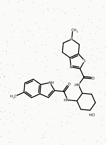 Cc1ccc2[nH]c(C(=O)NC3CCCCC3NC(=O)c3nc4c(s3)CN(C)CC4)cc2c1.Cl